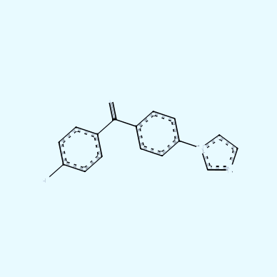 O=C(c1ccc(Br)cc1)c1ccc(-n2ccnc2)cc1